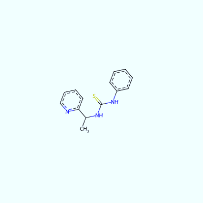 CC(NC(=S)Nc1ccccc1)c1ccccn1